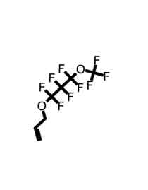 C=CCOC(F)(F)C(F)(F)C(F)(F)OC(F)(F)F